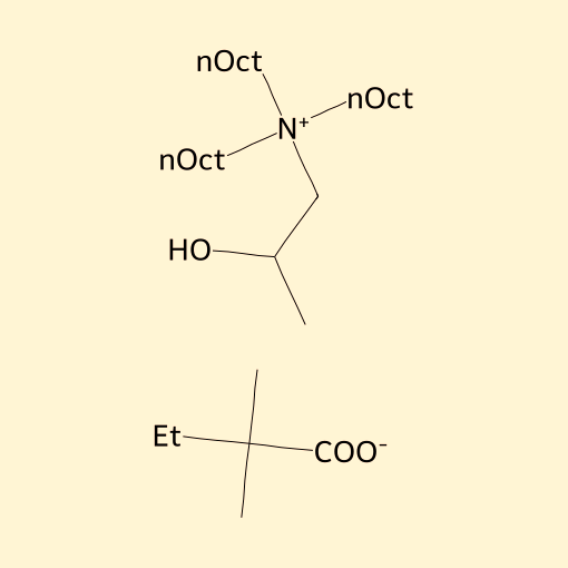 CCC(C)(C)C(=O)[O-].CCCCCCCC[N+](CCCCCCCC)(CCCCCCCC)CC(C)O